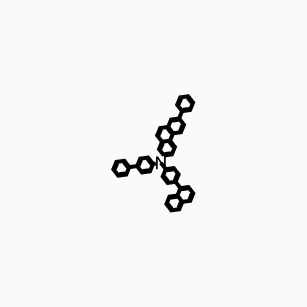 c1ccc(-c2ccc(N(c3ccc(-c4cccc5ccccc45)cc3)c3ccc4c(ccc5cc(-c6ccccc6)ccc54)c3)cc2)cc1